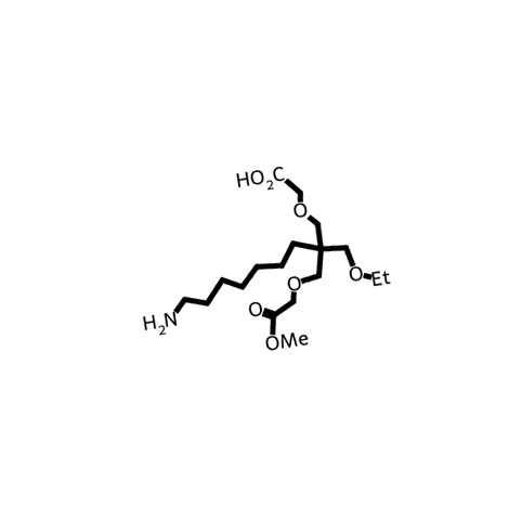 CCOCC(CCCCCCCN)(COCC(=O)O)COCC(=O)OC